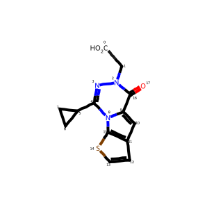 O=C(O)Cn1nc(C2CC2)n2c(cc3ccsc32)c1=O